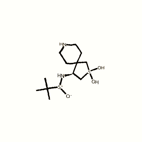 CC(C)(C)[S+]([O-])N[C@@H]1CS(O)(O)CC12CCNCC2